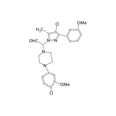 COc1cccc(-c2nn(C(C=O)N3CCN(c4ccc(Cl)c(OC)c4)CC3)c(C)c2Cl)c1